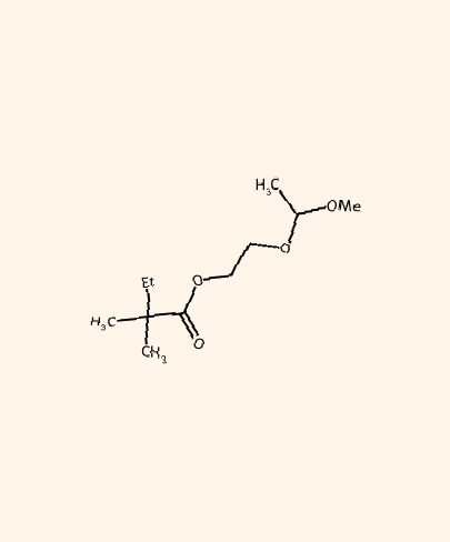 CCC(C)(C)C(=O)OCCOC(C)OC